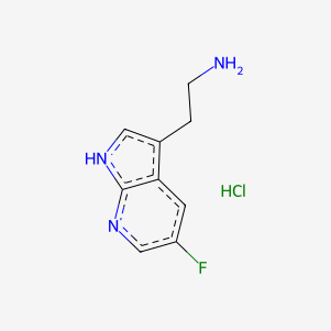 Cl.NCCc1c[nH]c2ncc(F)cc12